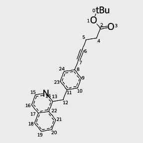 CC(C)(C)OC(=O)CCC#Cc1ccc(Cc2nccc3ccccc23)cc1